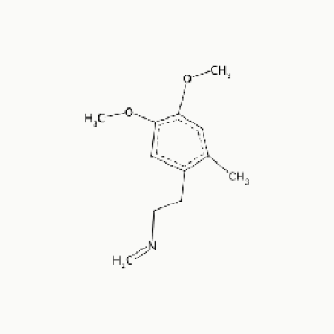 C=NCCc1cc(OC)c(OC)cc1C